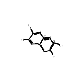 Ic1cc2cc(I)c(I)cc2cc1I